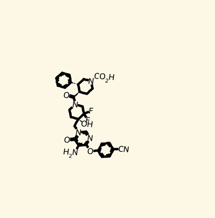 N#Cc1ccc(Oc2ncn(C[C@@]3(O)CCN(C(=O)[C@@H]4CCN(C(=O)O)C[C@H]4c4ccccc4)CC3(F)F)c(=O)c2N)cc1